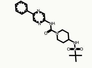 CC(C)(C)S(=O)(=O)NC1CCN(C(=O)Nc2cnc(-c3ccccc3)cn2)CC1